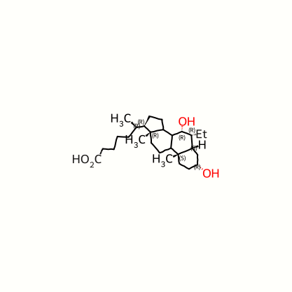 CC[C@H]1[C@@H](O)C2C3CC[C@H]([C@H](C)CCCCC(=O)O)[C@@]3(C)CCC2[C@@]2(C)CC[C@@H](O)C[C@@H]12